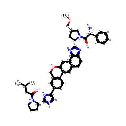 COC[C@H]1C[C@@H](c2nc3ccc4cc5c(cc4c3[nH]2)OCc2cc(-c3cnc([C@@H]4CCCN4C(=O)[CH]C(C)C)[nH]3)ccc2-5)N(C(=O)[C@H](N)c2ccccc2)C1